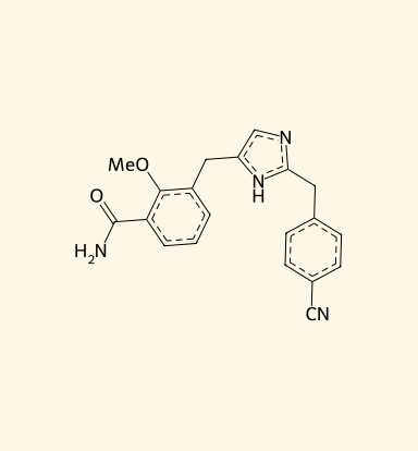 COc1c(Cc2cnc(Cc3ccc(C#N)cc3)[nH]2)cccc1C(N)=O